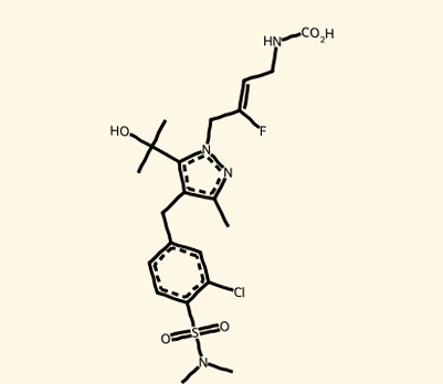 Cc1nn(C/C(F)=C/CNC(=O)O)c(C(C)(C)O)c1Cc1ccc(S(=O)(=O)N(C)C)c(Cl)c1